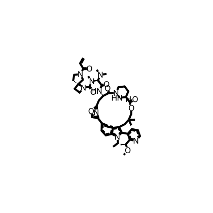 C=CC(=O)N1CC[C@]2(CCN2C(=O)N(C)[C@H](C(=O)N[C@H]2Cc3nc(co3)-c3ccc4c(c3)c(c(-c3cccnc3[C@H](C)OC)n4CC)CC(C)(C)COC(=O)[C@@H]3CCCN(N3)C2=O)N(C)C)C1